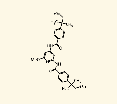 COc1cc(NC(=O)c2ccc(C(C)(C)CC(C)(C)C)cc2)nc(NC(=O)c2ccc(C(C)(C)CC(C)(C)C)cc2)n1